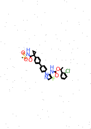 CC(OC(=O)Nc1c(F)cnn1-c1ccc(-c2ccc(C3(C(=O)NS(C)(=O)=O)CC3)cc2)cc1)c1ccccc1Cl